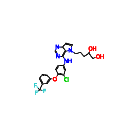 OCC(O)CCCn1ccc2ncnc(Nc3ccc(Oc4cccc(C(F)(F)F)c4)c(Cl)c3)c21